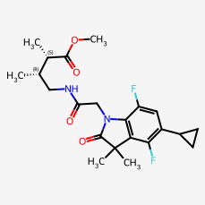 COC(=O)[C@@H](C)[C@@H](C)CNC(=O)CN1C(=O)C(C)(C)c2c(F)c(C3CC3)cc(F)c21